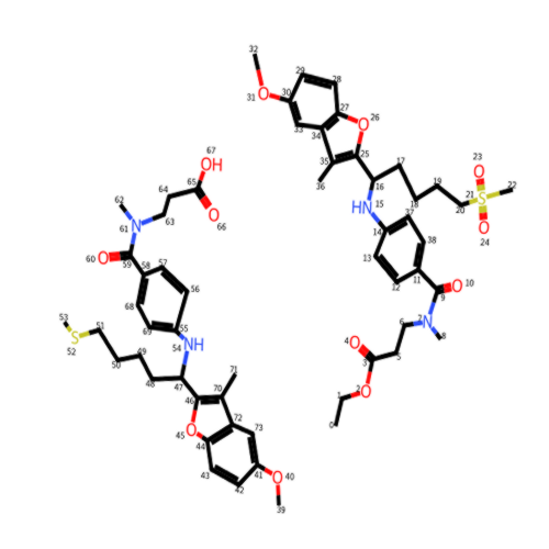 CCOC(=O)CCN(C)C(=O)c1ccc(NC(CCCCS(C)(=O)=O)c2oc3ccc(OC)cc3c2C)cc1.COc1ccc2oc(C(CCCCSC)Nc3ccc(C(=O)N(C)CCC(=O)O)cc3)c(C)c2c1